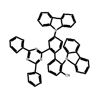 N#Cc1cccc(-c2ccc(-n3c4ccccc4c4ccccc43)cc2-c2nc(-c3ccccc3)nc(-c3ccccc3)n2)c1-n1c2ccccc2c2ccccc21